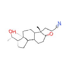 C[C@H](O)[C@H]1CCC2C3CCC(=O)[C@@](C)(CCC#N)C3CC[C@@]21C